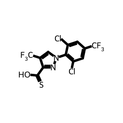 OC(=S)c1nn(-c2c(Cl)cc(C(F)(F)F)cc2Cl)cc1C(F)(F)F